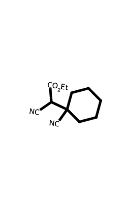 CCOC(=O)C(C#N)C1(C#N)CCCCC1